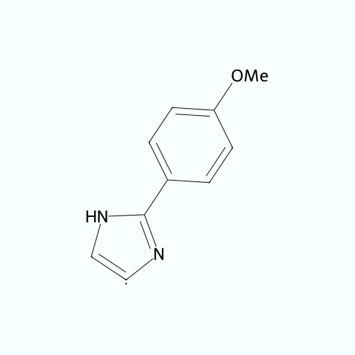 COc1ccc(-c2n[c]c[nH]2)cc1